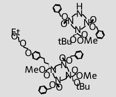 CCOCCOCCOc1ccc(CCC[C@@H](C(=O)OC)N2CCN(C(=O)OCc3ccccc3)CCN([C@H](COC(C)(C)C)C(=O)OC)CCN(C(=O)OCc3ccccc3)CC2)cc1.COC(=O)[C@@H](COC(C)(C)C)N1CCN(C(=O)OCc2ccccc2)CCNCCN(C(=O)OCc2ccccc2)CC1